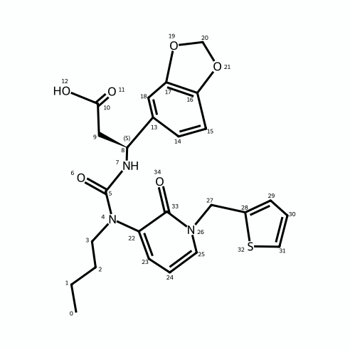 CCCCN(C(=O)N[C@@H](CC(=O)O)c1ccc2c(c1)OCO2)c1cccn(Cc2cccs2)c1=O